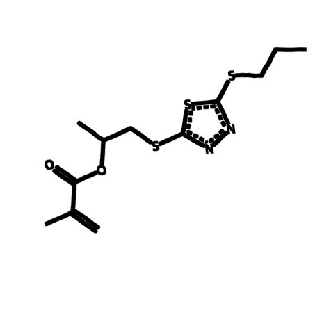 C=C(C)C(=O)OC(C)CSc1nnc(SCCC)s1